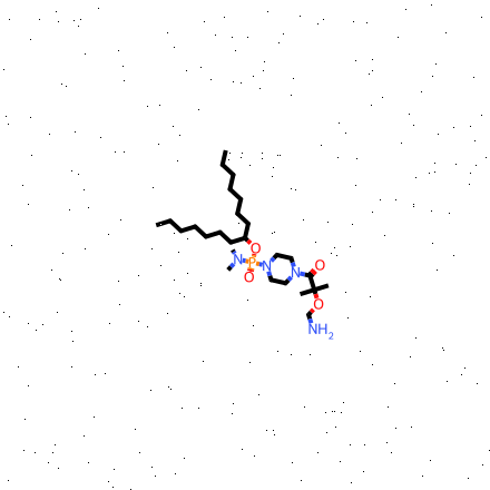 CCCCCCCC(CCCCCCC)OP(=O)(N(C)C)N1CCN(C(=O)C(C)(C)OCN)CC1